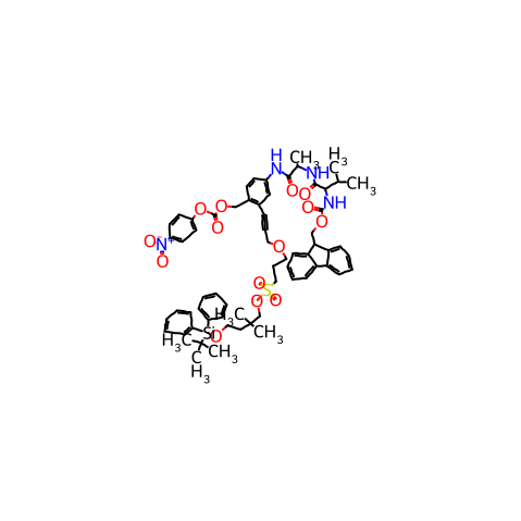 CC(NC(=O)C(NC(=O)OCC1c2ccccc2-c2ccccc21)C(C)C)C(=O)Nc1ccc(COC(=O)Oc2ccc([N+](=O)[O-])cc2)c(C#CCOCCCS(=O)(=O)OCC(C)(C)CCO[Si](c2ccccc2)(c2ccccc2)C(C)(C)C)c1